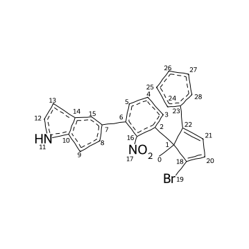 CC1(c2cccc(-c3ccc4[nH]ccc4c3)c2[N+](=O)[O-])C(Br)=CC=C1c1ccccc1